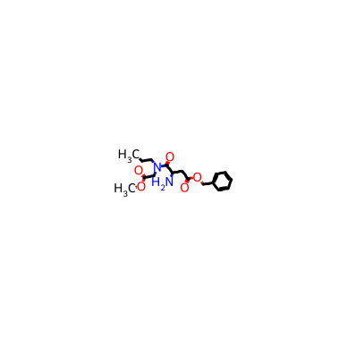 CCCN(CC(=O)OC)C(=O)C(N)CC(=O)OCc1ccccc1